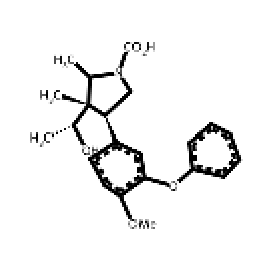 COc1ccc([C@@H]2CN(C(=O)O)C(C)[C@@]2(C)[C@@H](C)O)cc1Oc1ccccc1